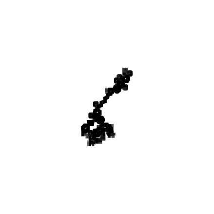 Cc1cc(F)c(Nc2nc(-c3ccc4c(c3)N([C@H]3C[C@@H](N5CCCCC5)C3)C(=O)C43CCN(C(=O)CCCCCCCNc4ccc5c(c4)C(=O)N(C4CCC(=O)NC4=O)C5=O)CC3)cc3ncn(C(C)C)c23)cc1C(=O)NC(C)C